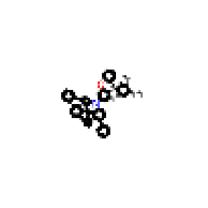 CC(C)c1cc(C(C)C)c(B2c3ccccc3Oc3cc(N4c5ccc(-c6ccccc6)cc5C5(c6ccccc6-c6ccccc65)c5cc(-c6ccccc6)ccc54)ccc32)c(C(C)C)c1